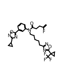 C=C(F)CCC(=O)N(CCCCCc1noc(C2(C(F)(F)F)CC2)n1)c1cccc(-c2nc(C3CC3)no2)c1